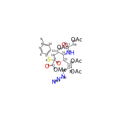 COC(=O)[C@]1(Sc2ccc(C)cc2)C[C@H](OC(C)=O)[C@@H](NC(=O)COC(C)=O)[C@H]([C@H](OC(C)=O)[C@@H](CN=[N+]=[N-])OC(C)=O)O1